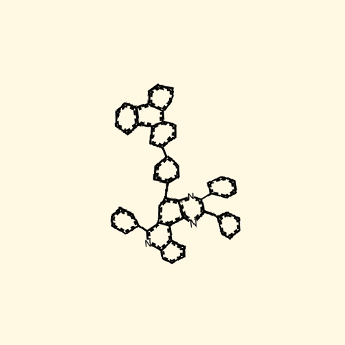 c1ccc(-c2nc3c(-c4ccc(-c5ccc6c7ccccc7c7ccccc7c6c5)cc4)cc4c(-c5ccccc5)nc5ccccc5c4c3nc2-c2ccccc2)cc1